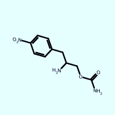 NC(=O)OCC(N)Cc1ccc([N+](=O)[O-])cc1